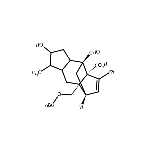 CCCCOC[C@@]12CC3C(C)C(O)CC3[C@@]3(C=O)C[C@@H]1C=C(C(C)C)[C@@]23C(=O)O